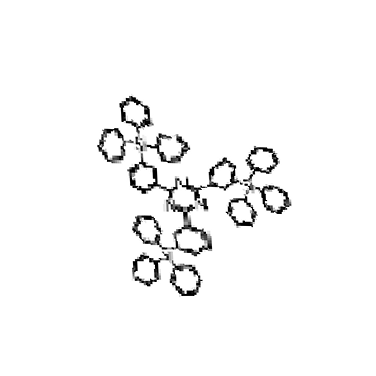 c1ccc([Si](c2ccccc2)(c2ccccc2)c2cccc(-c3nc(-c4cccc([Si](c5ccccc5)(c5ccccc5)c5ccccc5)c4)nc(-c4cccc([Si](c5ccccc5)(c5ccccc5)c5ccccc5)c4)n3)c2)cc1